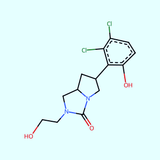 O=C1N(CCO)CC2CC(c3c(O)ccc(Cl)c3Cl)CN12